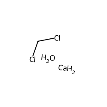 ClCCl.O.[CaH2]